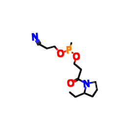 CCC1CCCN1C(=O)CCOP(C)OCCC#N